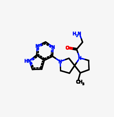 CC1CCN(C(=O)CN)C12CCN(c1ncnc3[nH]ccc13)C2